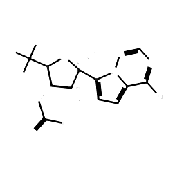 BC(B)(O)C1O[C@@](C#N)(c2ccc3c(N)ncnn23)[C@H](O)[C@@H]1CC(=O)C(C)C